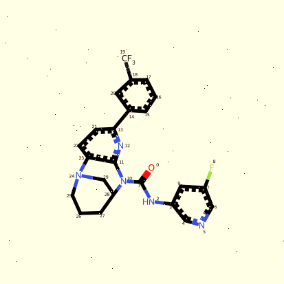 O=C(Nc1cncc(F)c1)N1c2nc(-c3cccc(C(F)(F)F)c3)ccc2N2CCCC1C2